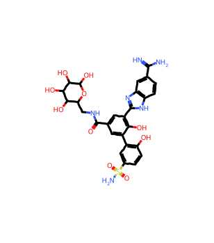 N=C(N)c1ccc2[nH]c(-c3cc(C(=O)NCC4OC(O)C(O)C(O)C4O)cc(-c4cc(S(N)(=O)=O)ccc4O)c3O)nc2c1